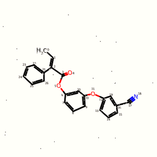 CC=C(C(=O)Oc1cccc(Oc2cccc(C#N)c2)c1)c1ccccc1